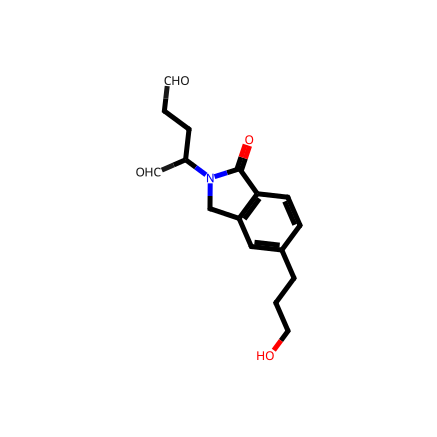 O=CCCC(C=O)N1Cc2cc(CCCO)ccc2C1=O